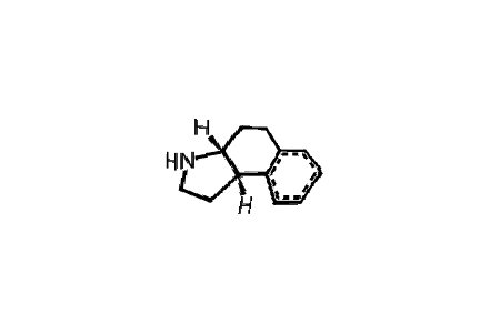 c1ccc2c(c1)CC[C@H]1NCC[C@@H]21